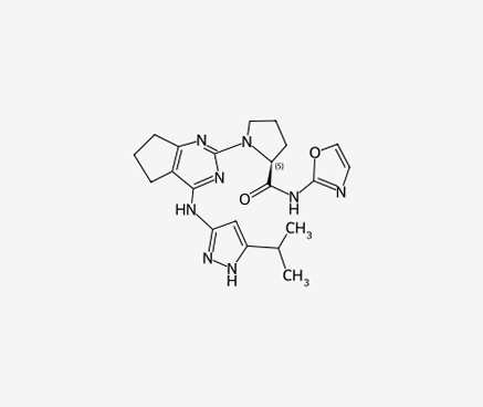 CC(C)c1cc(Nc2nc(N3CCC[C@H]3C(=O)Nc3ncco3)nc3c2CCC3)n[nH]1